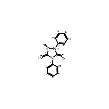 Cp1c(=O)n(-c2ccccc2)c(=O)n1-c1ccccc1